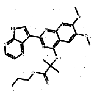 CCCNC(=O)C(C)(C)Nc1nc(-c2c[nH]c3ncccc23)nc2cc(OC)c(OC)cc12